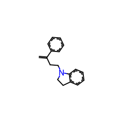 C=C(CCN1CCc2ccccc21)c1ccccc1